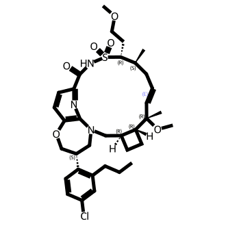 CCCc1cc(Cl)ccc1[C@@H]1COc2ccc3nc2N(C1)C[C@@H]1CC[C@H]1[C@@](C)(OC)/C=C/C[C@H](C)[C@@H](CCOC)S(=O)(=O)NC3=O